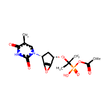 COC(=O)OP(=O)(O)C(C)(C)O[C@H]1C[C@@H](n2cc(C)c(=O)[nH]c2=O)C2=C1O2